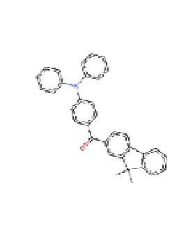 CC1(C)c2ccccc2-c2ccc(C(=O)c3ccc(N(c4ccccc4)c4ccccc4)cc3)cc21